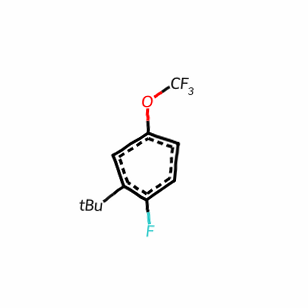 CC(C)(C)c1cc(OC(F)(F)F)ccc1F